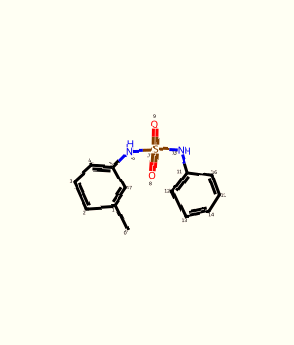 Cc1cccc(NS(=O)(=O)Nc2ccccc2)c1